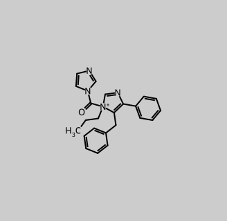 CCC[N+]1(C(=O)n2ccnc2)C=NC(c2ccccc2)=C1Cc1ccccc1